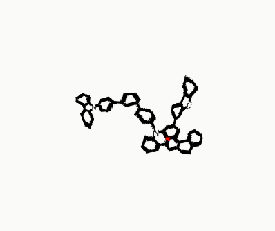 c1cc(-c2ccc(N(c3cccc(-c4ccc5c(c4)oc4ccccc45)c3)c3ccccc3-c3ccc4c(ccc5ccccc54)c3)cc2)cc(-c2ccc(-n3c4ccccc4c4ccccc43)cc2)c1